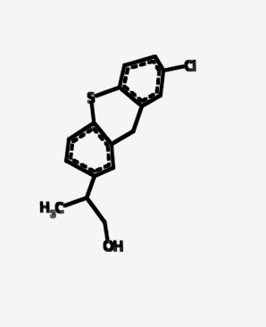 CC(CO)c1ccc2c(c1)Cc1cc(Cl)ccc1S2